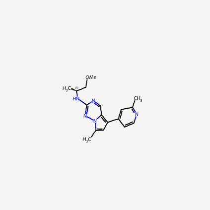 COC[C@H](C)Nc1ncc2c(-c3ccnc(C)c3)cc(C)n2n1